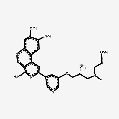 COCCN(C)C[C@@H](N)COc1cncc(-c2cc3c(cnc4cc(OC)c(OC)cc43)c(N)n2)c1